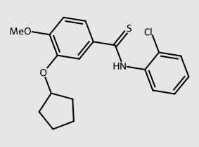 COc1ccc(C(=S)Nc2ccccc2Cl)cc1OC1CCCC1